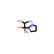 CC(C)[C@@](C)(O)[C@@H]1CCCN1